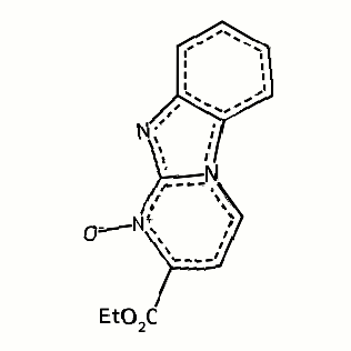 CCOC(=O)c1ccn2c3ccccc3nc2[n+]1[O-]